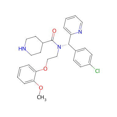 COc1ccccc1OCCN(C(=O)C1CCNCC1)[C@@H](c1ccc(Cl)cc1)c1ccccn1